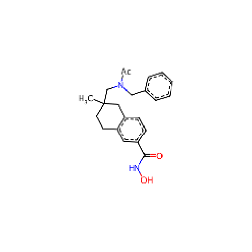 CC(=O)N(Cc1ccccc1)CC1(C)CCc2cc(C(=O)NO)ccc2C1